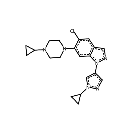 Clc1cc2cnn(-c3cnn(C4CC4)c3)c2cc1N1CCN(C2CC2)CC1